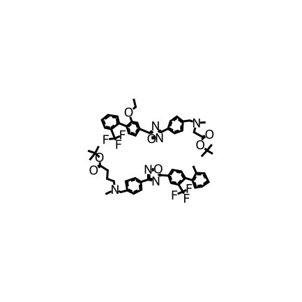 CCOc1cc(-c2nc(-c3ccc(CN(C)CC(=O)OC(C)(C)C)cc3)no2)ccc1-c1ccccc1C(F)(F)F.Cc1ccccc1-c1ccc(-c2nc(-c3ccc(CN(C)CCCC(=O)OC(C)(C)C)cc3)no2)cc1C(F)(F)F